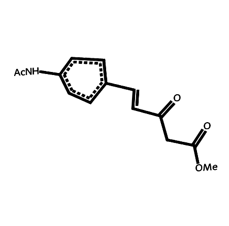 COC(=O)CC(=O)C=Cc1ccc(NC(C)=O)cc1